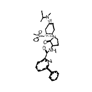 CC(C)N(C)[C@@H]1CC[C@H](N2CCC(NC(=O)c3cccc(-c4ccccc4)n3)C2=O)[C@H](CS(C)(=O)=O)C1